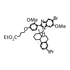 CCOC(=O)CCCOc1ccc(-c2nc3cc(Br)c(OC)cc3n2C[C@@]2(C)CCC[C@]3(C)c4ccc(C(C)C)cc4CC[C@@H]23)c(OC)c1